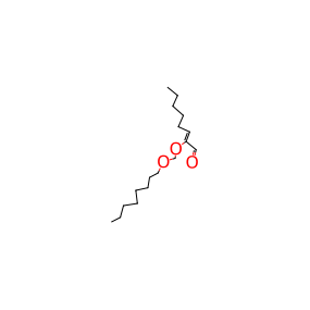 CCCCCC=C(C=O)OCOCCCCCCCC